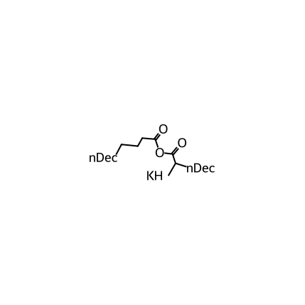 CCCCCCCCCCCCCC(=O)OC(=O)C(C)CCCCCCCCCC.[KH]